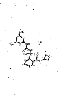 Cc1cc(C)nc(NC(=O)NS(=O)(=O)c2ccccc2C(=O)OC2COC2)n1.[Cu]